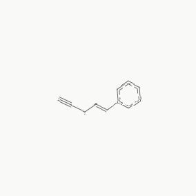 C#C[CH]C=Cc1ccccc1